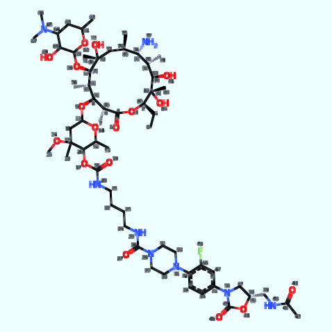 CC[C@H]1OC(=O)[C@H](C)[C@@H](OC2CC(C)(OC)C(OC(=O)NCCCCNC(=O)N3CCN(c4ccc(N5C[C@H](CNC(C)=O)OC5=O)cc4F)CC3)C(C)O2)[C@H](C)[C@@H](OC2OC(C)CC(N(C)C)C2O)[C@](C)(O)C[C@@H](C)[C@H](N)[C@H](C)[C@@H](O)[C@]1(C)O